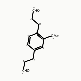 COc1cc(CCC=O)ccc1CCC=O